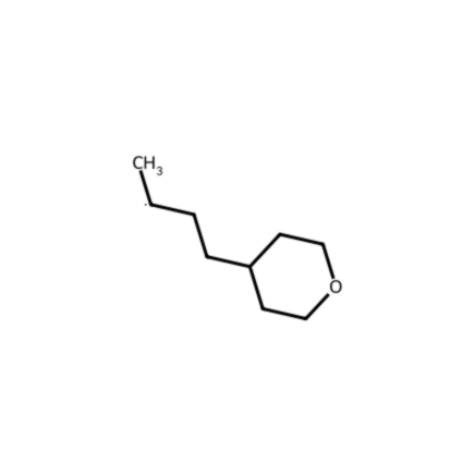 C[CH]CCC1CCOCC1